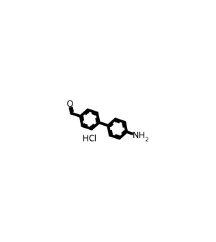 Cl.Nc1ccc(-c2ccc(C=O)cc2)cc1